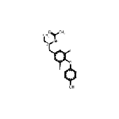 CC[C@H](Cc1cc(I)c(Oc2ccc(O)cc2)c(I)c1)NC(C)=O